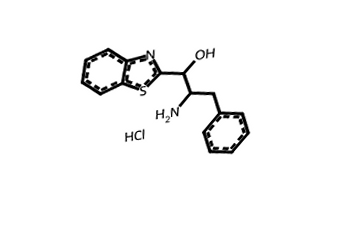 Cl.NC(Cc1ccccc1)C(O)c1nc2ccccc2s1